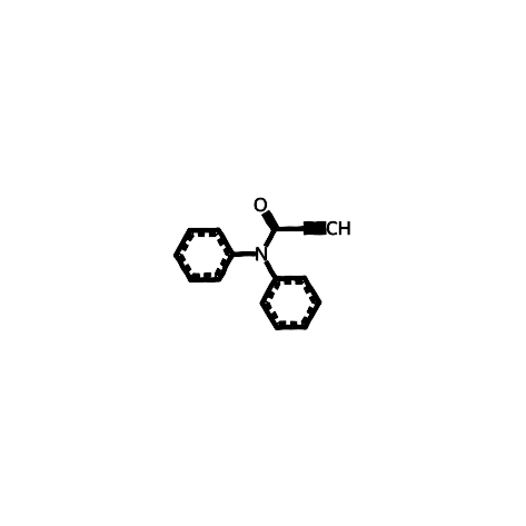 C#CC(=O)N(c1ccccc1)c1ccccc1